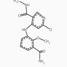 CNC(=O)c1cnc(Cl)cc1Nc1cccc(C(N)=O)c1OC